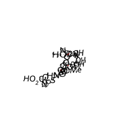 CC[C@H]1OC(=O)[C@H](C)[C@@H](O[C@H]2C[C@@](C)(OC)[C@@H](OS(=O)(=O)CCNCCSc3cc4c5c(c3)c(=O)c(C(=O)O)cn5C(C)CC4)[C@H](C)O2)[C@H](C)[C@@H](O[C@@H]2O[C@H](C)C[C@H](N(C)C)[C@H]2O)[C@](C)(O)C[C@@H](C)/C(=N\O)[C@@H](C)[C@@H](O)[C@]1(C)O